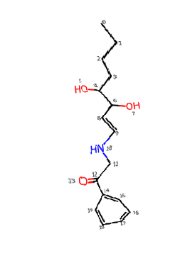 CCCCC(O)C(O)C=CNCC(=O)c1ccccc1